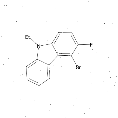 CCn1c2ccccc2c2c(Br)c(F)ccc21